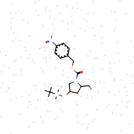 CC(C)(C)[Si](C)(C)OC1CC(CO)N(C(=O)OCc2ccc([N+](=O)[O-])cc2)C1